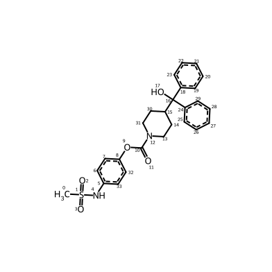 CS(=O)(=O)Nc1ccc(OC(=O)N2CCC(C(O)(c3ccccc3)c3ccccc3)CC2)cc1